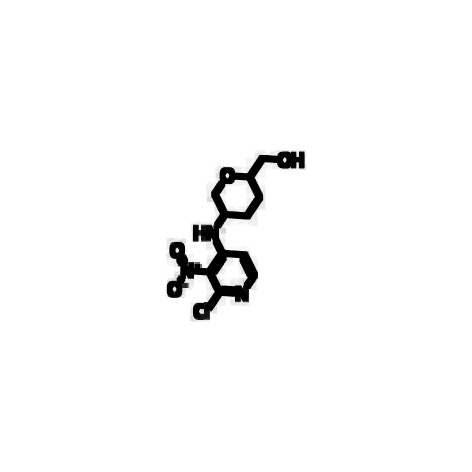 O=[N+]([O-])c1c(NC2CCC(CO)OC2)ccnc1Cl